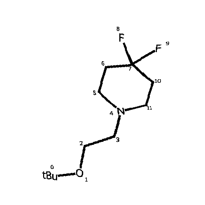 CC(C)(C)OCCN1CCC(F)(F)CC1